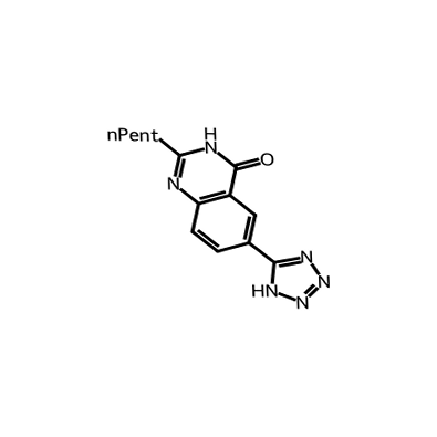 CCCCCc1nc2ccc(-c3nnn[nH]3)cc2c(=O)[nH]1